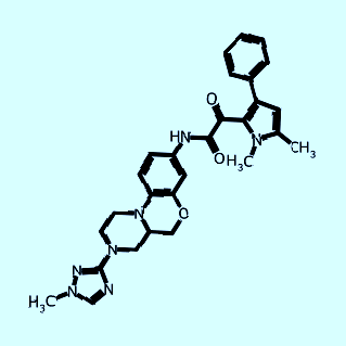 Cc1cc(-c2ccccc2)c(C(=O)C(=O)Nc2ccc3c(c2)OCC2CN(c4ncn(C)n4)CCN32)n1C